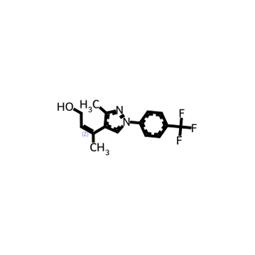 C/C(=C/CO)c1cn(-c2ccc(C(F)(F)F)cc2)nc1C